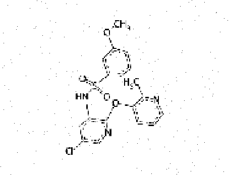 COc1cccc(S(=O)(=O)Nc2cc(Cl)cnc2Oc2cccnc2C)c1